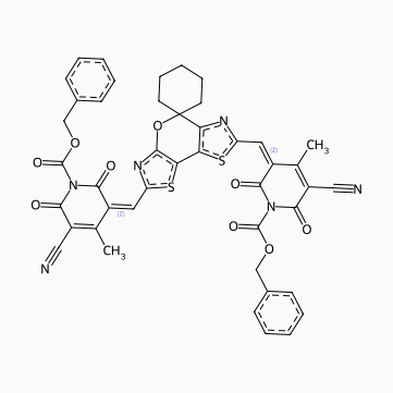 CC1=C(C#N)C(=O)N(C(=O)OCc2ccccc2)C(=O)/C1=C\c1nc2c(s1)-c1sc(/C=C3\C(=O)N(C(=O)OCc4ccccc4)C(=O)C(C#N)=C3C)nc1C1(CCCCC1)O2